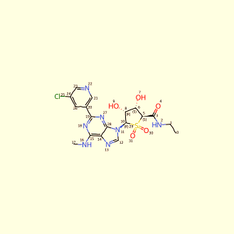 CCNC(=O)[C@@H]1[C@@H](O)[C@@H](O)[C@H](n2cnc3c(NC)nc(-c4cncc(Cl)c4)nc32)S1(=O)=O